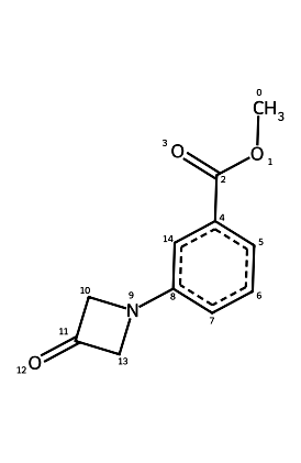 COC(=O)c1cccc(N2CC(=O)C2)c1